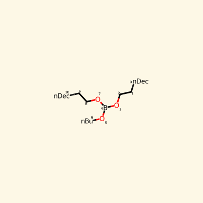 CCCCCCCCCCCCOB(OCCCC)OCCCCCCCCCCCC